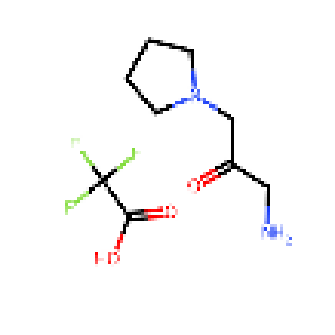 NCC(=O)CN1CCCC1.O=C(O)C(F)(F)F